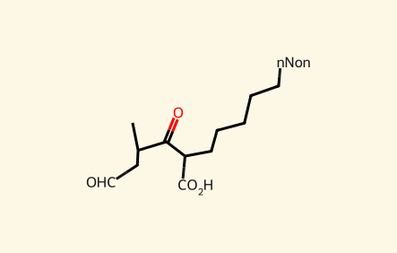 CCCCCCCCCCCCCCC(C(=O)O)C(=O)C(C)CC=O